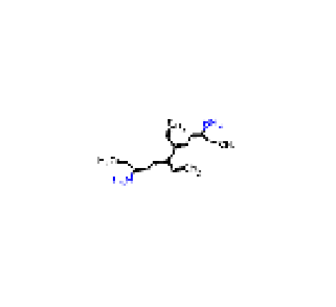 C=C\C(N)=C/C=C(C=C)/C(C=C)=C/C=C(/N)CC